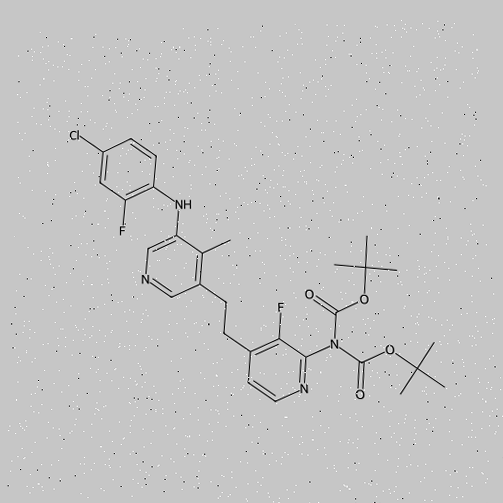 Cc1c(CCc2ccnc(N(C(=O)OC(C)(C)C)C(=O)OC(C)(C)C)c2F)cncc1Nc1ccc(Cl)cc1F